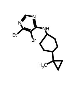 CCc1ncnc(NC2CCC(C3(C)CC3)CC2)c1Br